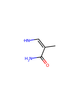 CC(=C[NH])C(N)=O